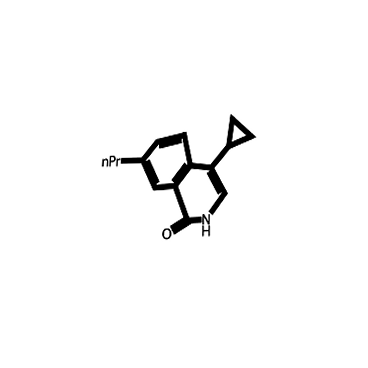 CCCc1ccc2c(C3CC3)c[nH]c(=O)c2c1